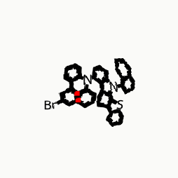 Brc1cccc(-c2ccccc2N(c2ccccc2)c2cccc3c2c2ccc4c5ccccc5sc4c2n3-c2cccc3ccccc23)c1